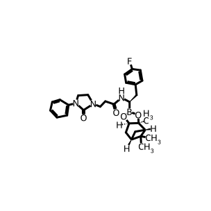 CC1(C)[C@@H]2C[C@H]3OB([C@H](Cc4ccc(F)cc4)NC(=O)CCN4CCN(c5ccccc5)C4=O)O[C@@]3(C)[C@H]1C2